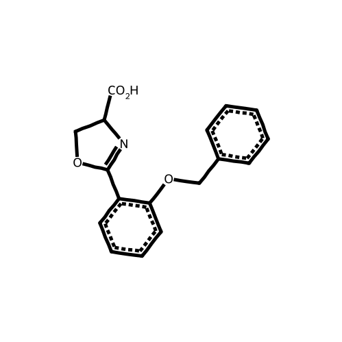 O=C(O)C1COC(c2ccccc2OCc2ccccc2)=N1